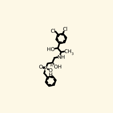 CC(NC[C@@H](O)CP(=O)(O)Cc1ccccc1)C(O)c1ccc(Cl)c(Cl)c1